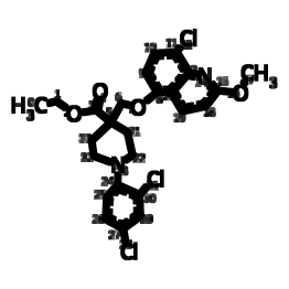 CCOC(=O)C1(COc2ccc(Cl)c3nc(OC)ccc23)CCN(c2ccc(Cl)cc2Cl)CC1